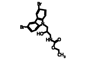 CCOC(=O)NCC(O)Cn1c2ccc(Br)cc2c2cc(Br)ccc21